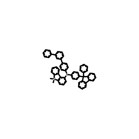 C[Si]1(C)c2ccccc2-c2c(N(c3ccc(-c4cccc(-c5ccccc5)c4)cc3)c3ccc(C4(c5ccccc5)c5ccccc5-c5ccccc54)cc3)cccc21